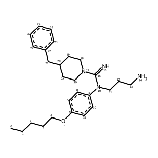 CCCCCOc1ccc(N(CCCN)C(=N)N2CCC(Cc3ccccc3)CC2)cc1